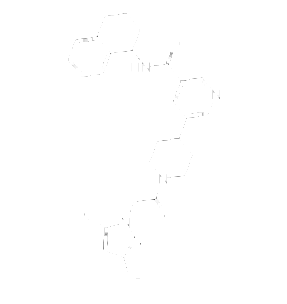 Cc1cc(C(F)(F)F)nn1CC(=O)N1CCC(c2cncc(C(=O)N[C@@H]3CCCc4ccccc43)c2)CC1